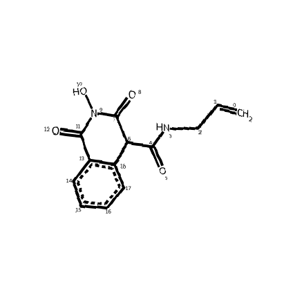 C=CCNC(=O)C1C(=O)N(O)C(=O)c2ccccc21